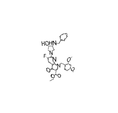 CCOC(=O)c1cn(Cc2ccc(OC)cc2OC)c2nc(N3CC(O)C(NCc4ccccc4)C3)c(F)cc2c1=O